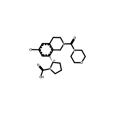 O=C(N1CCOCC1)N1CCc2cc(Cl)cc([C@@H]3CCCN3C(=O)O)c2C1